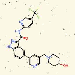 O=C(Nc1ccc(C(F)(F)F)cn1)c1n[nH]c2ccc(-c3cncc(CN4CCC(O)CC4)c3)cc12